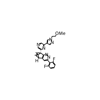 COCCn1cc(-c2cncc([C@]34CC[C@@H](c5cc(-c6c(F)cccc6F)nnc53)C4(C)C)n2)cn1